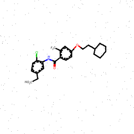 O=C(O)Cc1ccc(Cl)c(NC(=O)c2ccc(OCCC3CCCCC3)cc2C(F)(F)F)c1